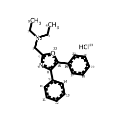 CCN(CC)Cc1nc(-c2ccccc2)c(-c2ccccc2)o1.Cl